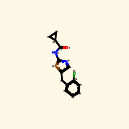 O=C(Nc1ncc(Cc2ccccc2Cl)s1)C1CC1